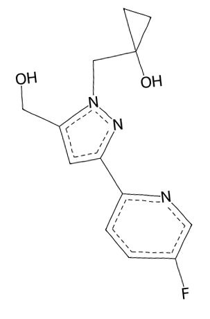 OCc1cc(-c2ccc(F)cn2)nn1CC1(O)CC1